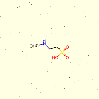 O=CNCCS(=O)(=O)O